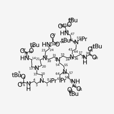 CC(C)CN(CCNC(=O)OC(C)(C)C)CCN(CCNC(=O)OC(C)(C)C)CCN(CCNC(=O)OC(C)(C)C)CCN(CCN(CCNC(=O)OC(C)(C)C)CCN(CCNC(=O)OC(C)(C)C)C(C)C)CCN(CCNC(=O)OC(C)(C)C)CC(C)C